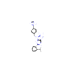 CC(C)c1ccccc1-c1ncc2c(n1)n(Cc1ccc(-c3ncc[nH]3)cc1)c(=N)n2C